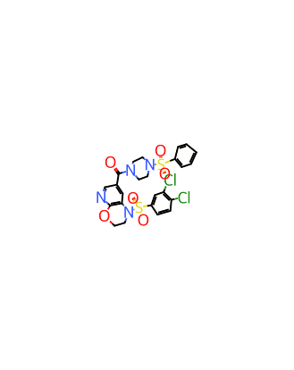 O=C(c1cnc2c(c1)N(S(=O)(=O)c1ccc(Cl)c(Cl)c1)CCO2)N1CCN(S(=O)(=O)c2ccccc2)CC1